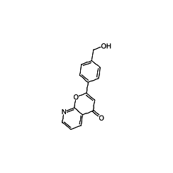 O=c1cc(-c2ccc(CO)cc2)oc2ncccc12